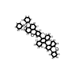 c1ccc([SiH](c2ccccc2)c2ccc3c4c(cccc24)-c2ccc(-c4c5ccccc5c(-c5ccc6c7c(cccc57)Oc5ccccc5-6)c5ccccc45)cc2O3)cc1